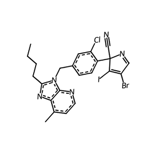 CCCCc1nc2c(C)ccnc2n1Cc1ccc(C2(C#N)N=CC(Br)=C2I)c(Cl)c1